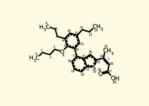 CCCCOc1c(CCC)cc(CCC)cc1-c1cccc2sc(/C(C)=C\C(=O)O)cc12